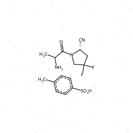 CC(N)C(=O)N1CC(F)(F)C[C@H]1C#N.Cc1ccc(S(=O)(=O)O)cc1